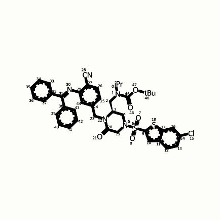 CC(C)N(C[C@H]1CN(S(=O)(=O)c2cc3ccc(Cl)cc3s2)CC(=O)N1Cc1ccc(C#N)c(N=C(c2ccccc2)c2ccccc2)c1)C(=O)OC(C)(C)C